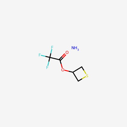 N.O=C(OC1CSC1)C(F)(F)F